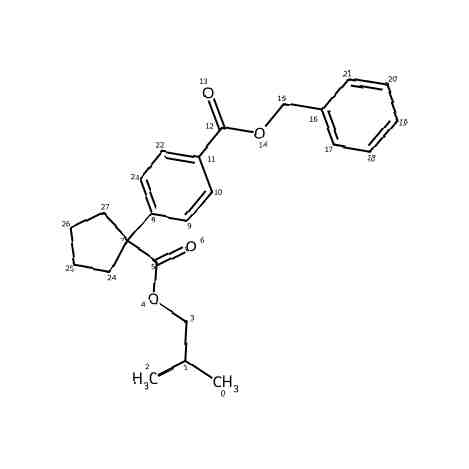 CC(C)COC(=O)C1(c2ccc(C(=O)OCc3ccccc3)cc2)CCCC1